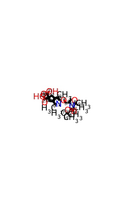 Cc1nc(OC[C@H]2COC(C)(C)N2C(=O)OC(C)(C)C)c(C)c2c1CC(C(=O)O)(C(=O)O)C2